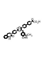 CBc1cc(C[C@@H](OC(=O)N2CCC(N3CCc4ccccc4NC3=O)CC2)C(=O)N2CCC(C3CCN(C(=O)C(=O)O)CC3)CC2)ccc1O